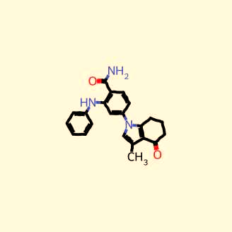 Cc1cn(-c2ccc(C(N)=O)c(Nc3ccccc3)c2)c2c1C(=O)CCC2